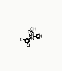 O=C(O)Cn1nc(-c2cc(Cl)cc(Cl)c2)nc1-c1ccncc1